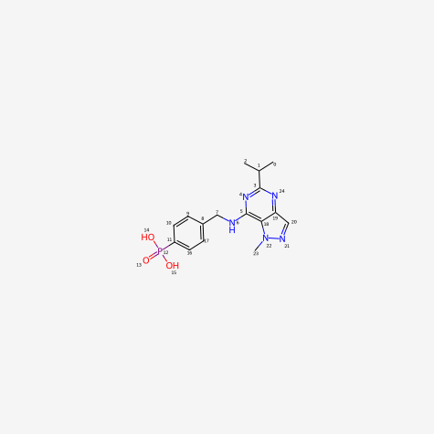 CC(C)c1nc(NCc2ccc(P(=O)(O)O)cc2)c2c(cnn2C)n1